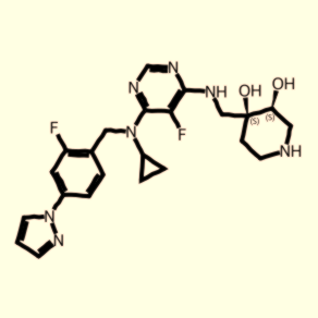 O[C@H]1CNCC[C@]1(O)CNc1ncnc(N(Cc2ccc(-n3cccn3)cc2F)C2CC2)c1F